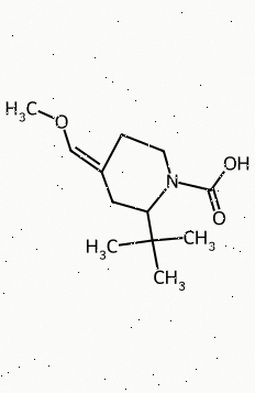 COC=C1CCN(C(=O)O)C(C(C)(C)C)C1